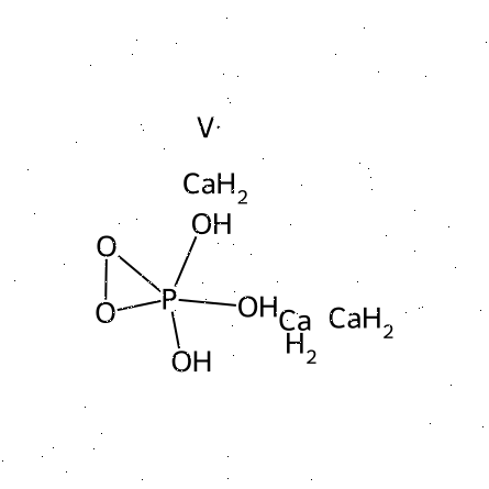 OP1(O)(O)OO1.[CaH2].[CaH2].[CaH2].[V]